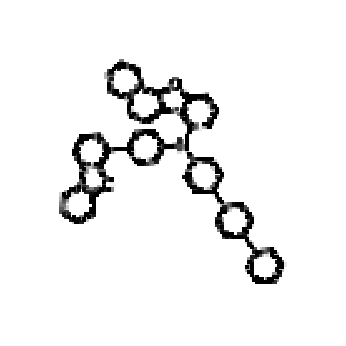 c1ccc(-c2ccc(-c3ccc(N(c4ccc(-c5cccc6c5oc5ccccc56)cc4)c4cccc5oc6c7ccccc7ccc6c45)cc3)cc2)cc1